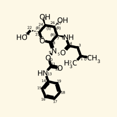 CC(C)CC(=O)N[C@H]1C(=NOC(=O)Nc2ccccc2)O[C@H](CO)[C@@H](O)[C@@H]1O